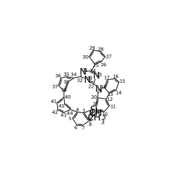 C[Si]1(C)c2c3cccc2-c2ccc4c5ccccc5n(c4c21)-c1nc(-c2ccccc2)nc(n1)-c1cccc(c1)-c1cccc-3c1